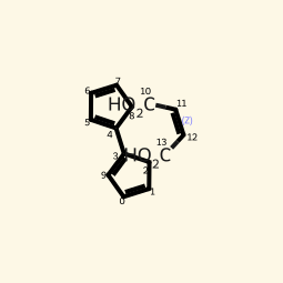 C1=CCC(C2=CC=CC2)=C1.O=C(O)/C=C\C(=O)O